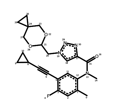 Cc1cc(F)c(C#CC2CC2)cc1N(C)C(=O)c1cn(CC2OCC3(CC3)CO2)nn1